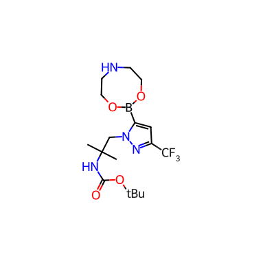 CC(C)(Cn1nc(C(F)(F)F)cc1B1OCCNCCO1)NC(=O)OC(C)(C)C